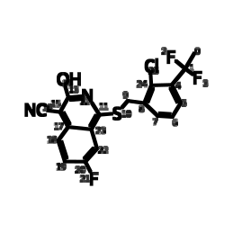 CC(F)(F)c1cccc(CSc2nc(O)c(C#N)c3ccc(F)cc23)c1Cl